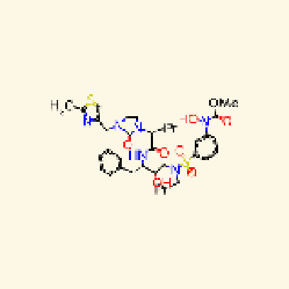 COC(=O)N(O)c1cccc(S(=O)(=O)N(CC(C)C)C[C@@H](O)[C@H](Cc2ccccc2)NC(=O)[C@H](C(C)C)N2CCN(Cc3csc(C)n3)C2=O)c1